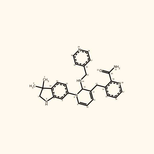 CC1(C)CNc2cc(N3C=CC=C(Cc4cccnc4C(N)=O)C3NCc3ccncc3)ccc21